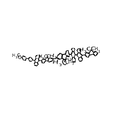 COc1ccc(-c2ccc(-c3c4ccccc4c(-c4ccc5c(c4)C(C)(C)c4cc(-c6ccc7c(c6)C(C)(C)c6cc(-c8c9ccccc9c(-c9c%10ccccc%10c(-c%10ccc%11c(c%10)C(C)(C)c%10ccccc%10-%11)c%10ccccc9%10)c9ccccc89)ccc6-7)ccc4-5)c4ccccc34)cc2)cc1